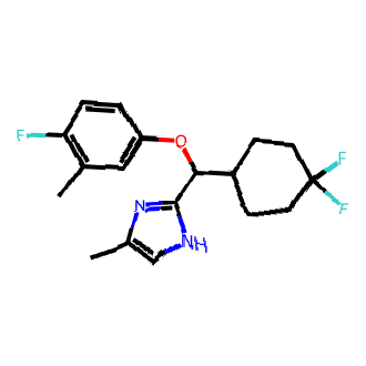 Cc1c[nH]c(C(Oc2ccc(F)c(C)c2)C2CCC(F)(F)CC2)n1